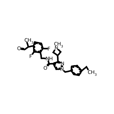 CCc1ccc(Cn2cc(C(=O)NCc3c(F)ccc(C(C)C=O)c3F)c(C3CN(C)C3)n2)cc1